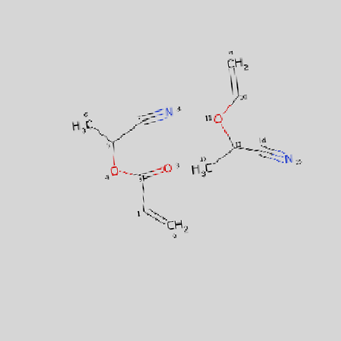 C=CC(=O)OC(C)C#N.C=COC(C)C#N